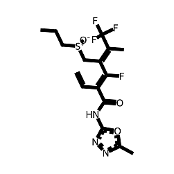 C=C/C(C(=O)Nc1nnc(C)o1)=C(F)\C(C[S+]([O-])CCC)=C(/C)C(F)(F)F